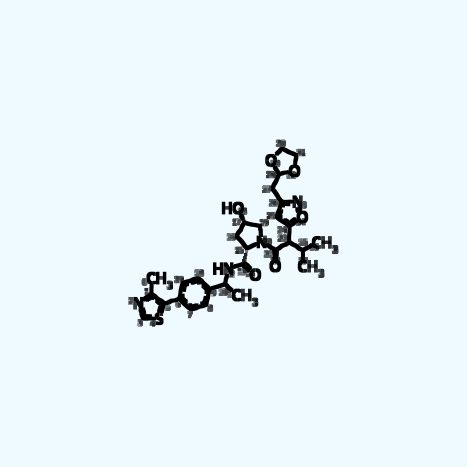 Cc1ncsc1-c1ccc(C(C)NC(=O)[C@@H]2C[C@@H](O)CN2C(=O)C(c2cc(CC3OCCO3)no2)C(C)C)cc1